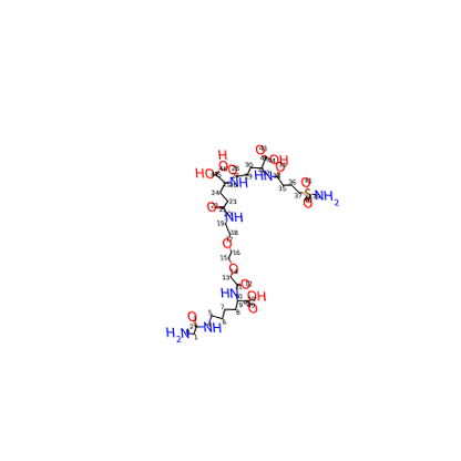 NCC(=O)NCCCCC(NC(=O)COCCOCCNC(=O)CCC(NC(=O)CCC(NC(=O)CCCS(N)(=O)=O)C(=O)O)C(O)O)C(=O)O